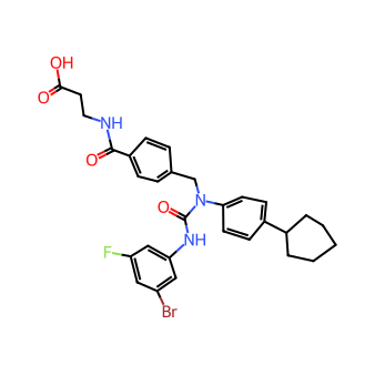 O=C(O)CCNC(=O)c1ccc(CN(C(=O)Nc2cc(F)cc(Br)c2)c2ccc(C3CCCCC3)cc2)cc1